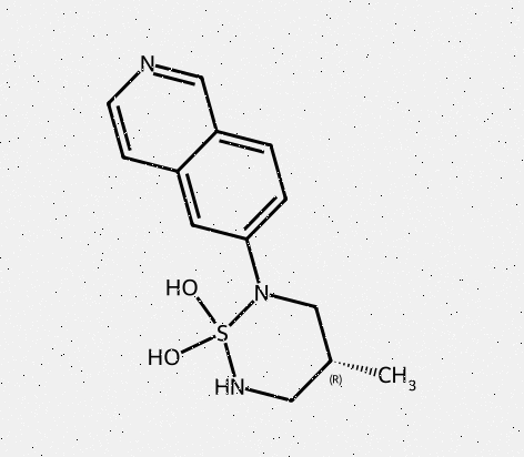 C[C@@H]1CNS(O)(O)N(c2ccc3cnccc3c2)C1